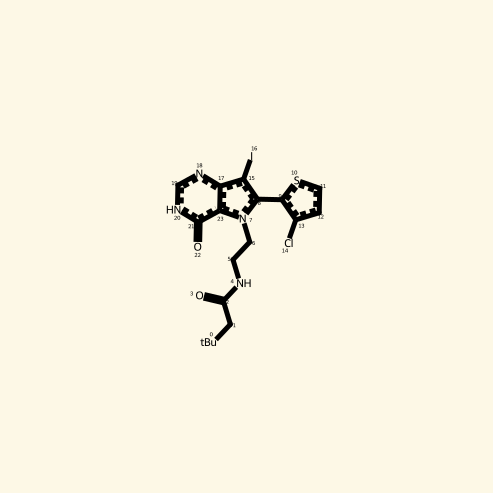 CC(C)(C)CC(=O)NCCn1c(-c2sccc2Cl)c(I)c2nc[nH]c(=O)c21